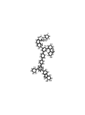 C1=CC(c2ccccc2)Nc2c1ccc1ccc(-c3cc(-c4ccc(-c5ccc(-c6nc(-c7ccccc7)nc(-c7ccc8c(c7)sc7ccccc78)n6)cc5)cc4)cc(-c4cccc5sc6ccccc6c45)c3)nc21